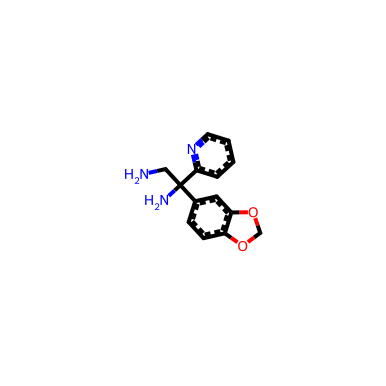 NCC(N)(c1ccc2c(c1)OCO2)c1ccccn1